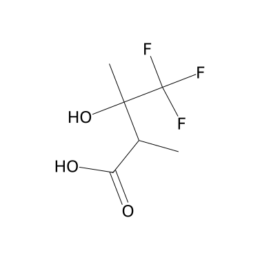 CC(C(=O)O)C(C)(O)C(F)(F)F